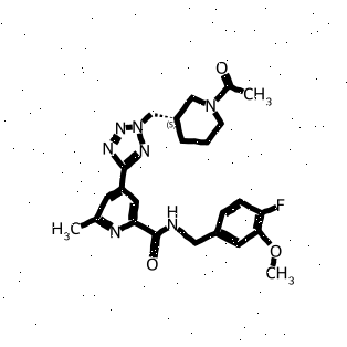 COc1cc(CNC(=O)c2cc(-c3nnn(C[C@H]4CCCN(C(C)=O)C4)n3)cc(C)n2)ccc1F